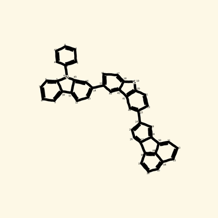 c1ccc(-n2c3ccccc3c3ccc(-c4ccc5sc6ccc(-c7ccc8c(c7)-c7cccc9cccc-8c79)cc6c5c4)cc32)cc1